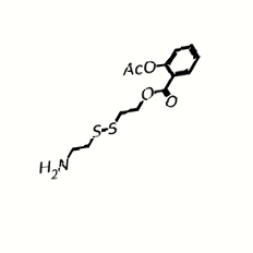 CC(=O)Oc1ccccc1C(=O)OCCSSCCN